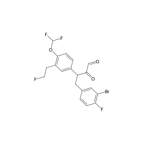 O=CC(=O)C(Cc1ccc(F)c(Br)c1)c1ccc(OC(F)F)c(CCF)c1